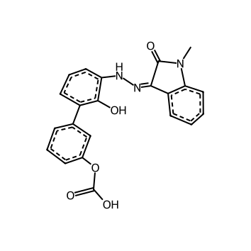 CN1C(=O)C(=NNc2cccc(-c3cccc(OC(=O)O)c3)c2O)c2ccccc21